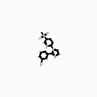 CS(=O)(=O)c1ccc(-n2ccnc2-c2cccc(Cl)c2)nc1